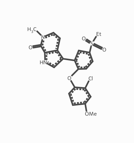 CCS(=O)(=O)c1ccc(Oc2ccc(OC)cc2Cl)c(-c2c[nH]c3c(=O)n(C)ccc23)c1